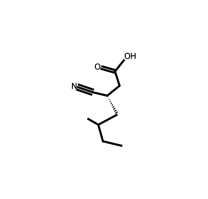 CCC(C)C[C@H](C#N)CC(=O)O